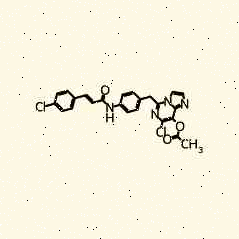 CC(=O)Oc1c(Cl)nc(Cc2ccc(NC(=O)/C=C/c3ccc(Cl)cc3)cc2)n2ccnc12